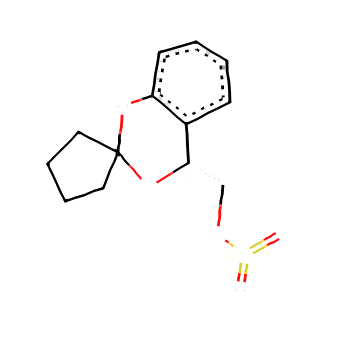 O=[SH](=O)OC[C@@H]1OC2(CCCC2)Oc2ccccc21